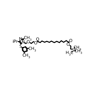 Cc1cc(C)cc(Sc2c(C(C)C)nc(C)n2COCCOC(=O)CCCCCCCCCCCCC(=O)OCC[Si](C)(C)C)c1